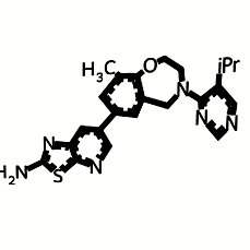 Cc1cc(-c2cnc3sc(N)nc3c2)cc2c1OCCN(c1ncncc1C(C)C)C2